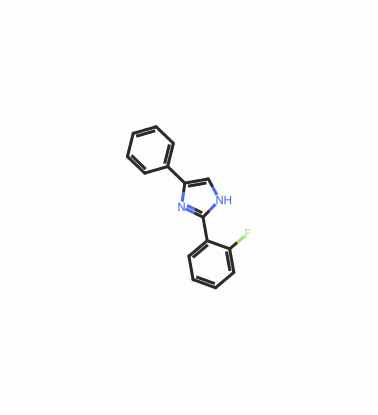 Fc1ccccc1-c1nc(-c2ccccc2)c[nH]1